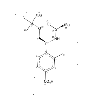 Cc1cc(C(=O)O)ccc1[C@@H](CO[Si](C)(C)C(C)(C)C)N[S@@+]([O-])C(C)(C)C